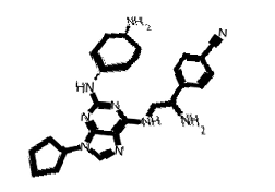 N#Cc1ccc(C(N)CNc2nc(N[C@H]3CC[C@H](N)CC3)nc3c2ncn3C2CCCC2)cc1